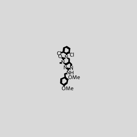 COc1ccc(CNc2ncc3c(n2)N(C)C(=O)N(c2c(Cl)cccc2Cl)C3)c(OC)c1